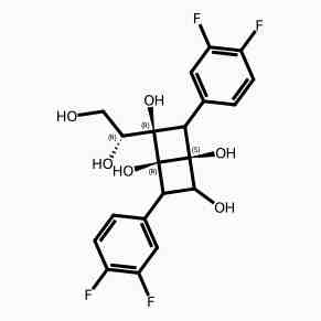 OC[C@@H](O)[C@]1(O)C(c2ccc(F)c(F)c2)[C@]2(O)C(O)C(c3ccc(F)c(F)c3)[C@@]21O